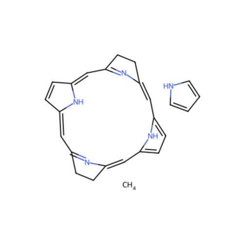 C.c1cc2cc3nc(cc4ccc(cc5nc(cc1[nH]2)CC5)[nH]4)CC3.c1cc[nH]c1